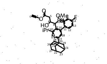 C#COC(=O)CC(O)C(c1c(-c2ccc(F)cc2)cc(C23CC4CC(CC(C4)C2)C3)nc1C(C)C)[PH](=O)OC